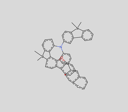 C[Si]1(C)c2ccccc2-c2cc(N(c3ccc(-c4ccc5ccccc5c4)cc3)c3cccc4c3-c3c(ccc5c3oc3ccccc35)[Si]4(C)C)ccc21